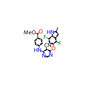 COC(=O)c1ccc(Nc2ncnc(Oc3cc(F)c4[nH]c(C)cc4c3F)c2C#N)cc1